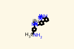 CCC(C)c1nc(-c2ccc(C(C)N)cc2)n(Cc2ccc(-c3ccccc3-c3nnn[nH]3)cc2)n1